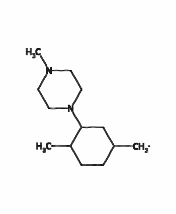 [CH2]C1CCC(C)C(N2CCN(C)CC2)C1